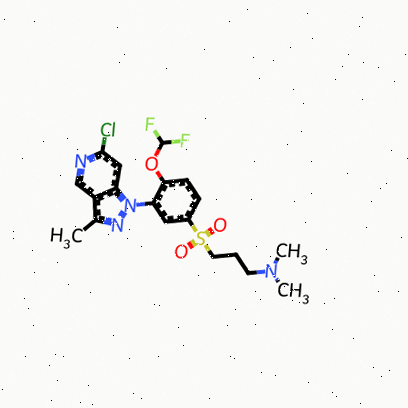 Cc1nn(-c2cc(S(=O)(=O)CCCN(C)C)ccc2OC(F)F)c2cc(Cl)ncc12